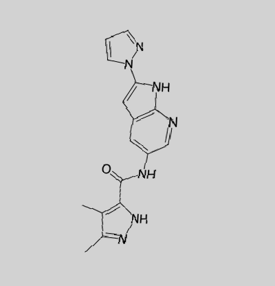 Cc1n[nH]c(C(=O)Nc2cnc3[nH]c(-n4cccn4)cc3c2)c1C